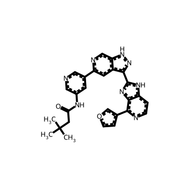 CC(C)(C)CC(=O)Nc1cncc(-c2cc3c(-c4nc5c(-c6ccoc6)nccc5[nH]4)n[nH]c3cn2)c1